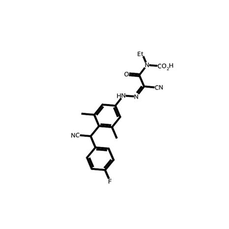 CCN(C(=O)O)C(=O)C(C#N)=NNc1cc(C)c(C(C#N)c2ccc(F)cc2)c(C)c1